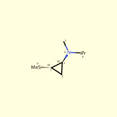 CS[C@H]1C[C@@H]1N(C)C(C)C